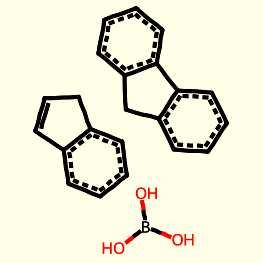 C1=Cc2ccccc2C1.OB(O)O.c1ccc2c(c1)Cc1ccccc1-2